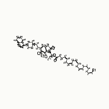 CC/C=C\C/C=C\C/C=C\C/C=C\C/C=C\C/C=C\CCC(=O)OC(C(=O)OCC)N1C(=O)Cc2cc(CCN3CCN(c4nsc5ccccc45)CC3)c(Cl)cc21